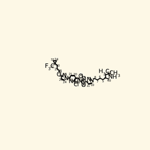 CC1(C)CC(CCCCn2ccc(S(=O)(=O)NC(=O)c3ccc(-n4ccc(OCCCC5(C(F)(F)F)CC5)n4)nc3Cl)n2)CN1